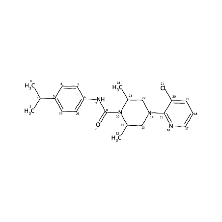 CC(C)c1ccc(NC(=O)N2C(C)CN(c3ncccc3Cl)CC2C)cc1